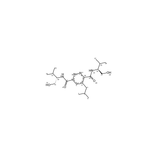 CC(C)Cc1cc(C(=O)N[C@H](CO)C(C)C)nnc1C(=O)N[C@H](CO)C(C)C